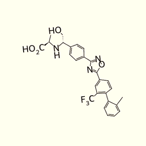 Cc1ccccc1-c1ccc(-c2nc(-c3ccc([C@@H](CO)N[C@H](C)C(=O)O)cc3)no2)cc1C(F)(F)F